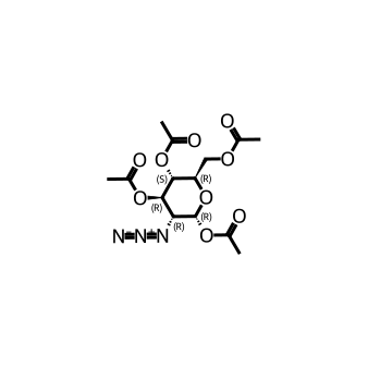 CC(=O)OC[C@H]1O[C@H](OC(C)=O)[C@H](N=[N+]=[N-])[C@@H](OC(C)=O)[C@@H]1OC(C)=O